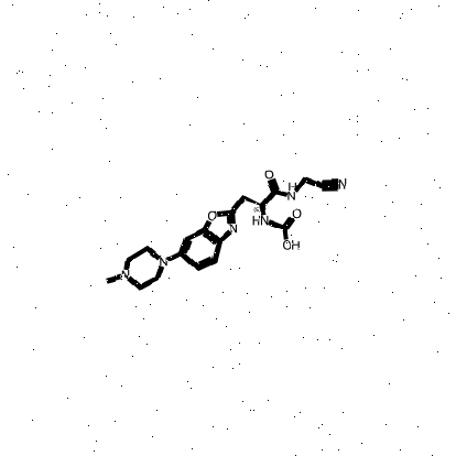 CN1CCN(c2ccc3nc(C[C@H](NC(=O)O)C(=O)NCC#N)oc3c2)CC1